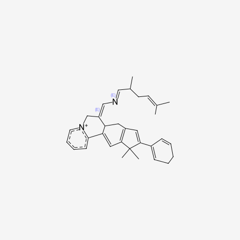 CC(C)=CCC(C)/C=N/C=C1/C[n+]2ccccc2C2=CC3=C(C=C(C4=CCCC=C4)C3(C)C)CC21